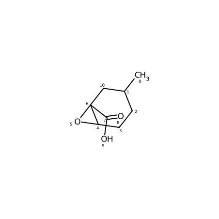 CC1CCC2OC2(C(=O)O)C1